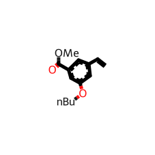 C=Cc1cc(OCCCC)cc(C(=O)OC)c1